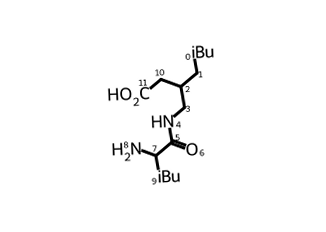 CCC(C)CC(CNC(=O)C(N)C(C)CC)CC(=O)O